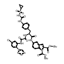 CC(C)(C)OC(=O)c1cc2cc(NC(=O)C(Cc3ccc(NC(=O)NS(=O)(=O)C4CC4)cc3)NC(=O)C(=O)Nc3cc(Cl)ccc3-n3cnnn3)ccc2n1C(=O)OC(C)(C)C